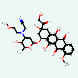 COCCN(CC#N)C1CC(O[C@H]2C[C@](O)(C(=O)CO)Cc3c(O)c4c(c(O)c32)C(=O)c2c(OC)cccc2C4=O)OC(C)C1O